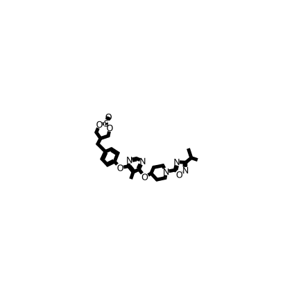 Cc1c(Oc2ccc(CC3COS(=O)OC3)cc2)ncnc1OC1CCN(c2nc(C(C)C)no2)CC1